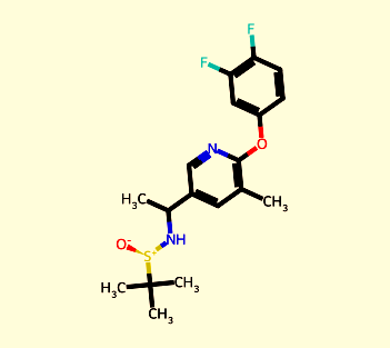 Cc1cc(C(C)N[S@+]([O-])C(C)(C)C)cnc1Oc1ccc(F)c(F)c1